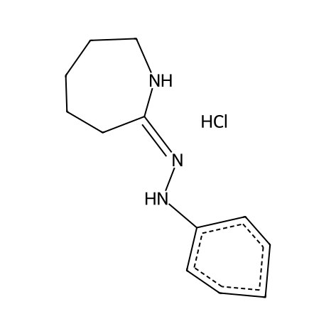 Cl.c1ccc(NN=C2CCCCCN2)cc1